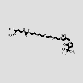 CSC(C)CCNC(=O)NCCOCCOCCOCCn1cc(CN2CCC(C(C)(C)C)C2=O)nn1